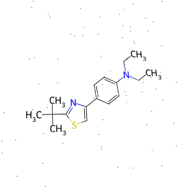 CCN(CC)c1ccc(-c2csc(C(C)(C)C)n2)cc1